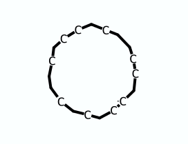 [CH]1CCCCCCCCCCCCCCCCCC1